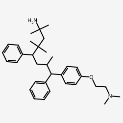 CC(CC(c1ccccc1)C(C)(C)CC(C)(C)N)C(c1ccccc1)c1ccc(OCCN(C)C)cc1